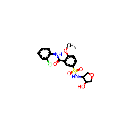 COc1ccc(S(=O)(=O)NC2COCC2O)cc1C(=O)Nc1ccccc1Cl